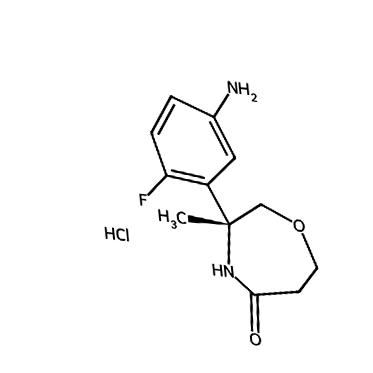 C[C@@]1(c2cc(N)ccc2F)COCCC(=O)N1.Cl